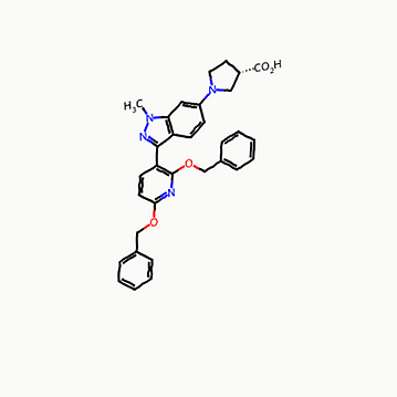 Cn1nc(-c2ccc(OCc3ccccc3)nc2OCc2ccccc2)c2ccc(N3CC[C@H](C(=O)O)C3)cc21